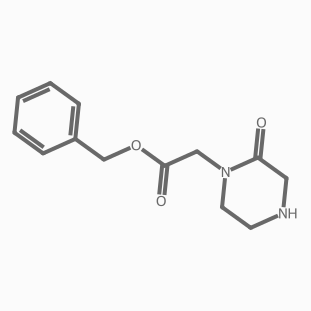 O=C(CN1CCNCC1=O)OCc1ccccc1